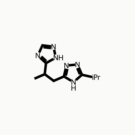 CC(C)c1nnc(CC(C)c2ncn[nH]2)[nH]1